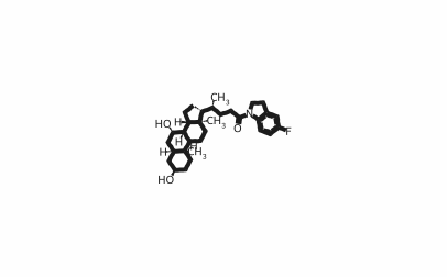 C[C@H](CCC(=O)N1CCc2cc(F)ccc21)[C@H]1CC[C@H]2[C@@H]3[C@@H](O)C[C@@H]4C[C@H](O)CC[C@]4(C)[C@H]3CC[C@]12C